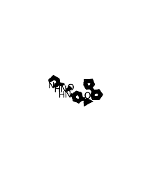 O=C(NCc1cccnc1)Nc1ccc(C2(Oc3ccccc3-c3ccccc3)CC2)cc1